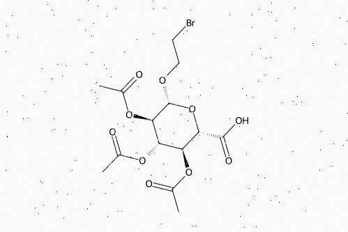 CC(=O)O[C@@H]1[C@@H](OC(C)=O)[C@H](OCCBr)O[C@H](C(=O)O)[C@H]1OC(C)=O